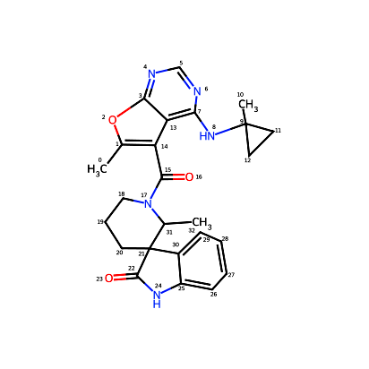 Cc1oc2ncnc(NC3(C)CC3)c2c1C(=O)N1CCCC2(C(=O)Nc3ccccc32)C1C